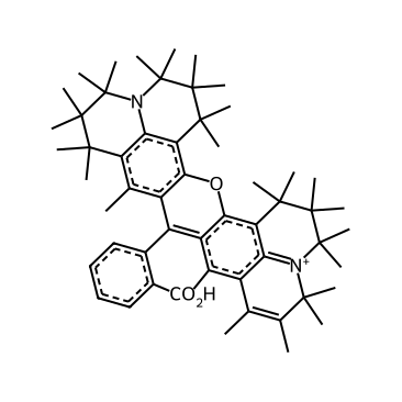 CC1=C(C)C(C)(C)[N+]2=c3c1c(C)c1c(c3C(C)(C)C(C)(C)C2(C)C)Oc2c(c(C)c3c4c2C(C)(C)C(C)(C)C(C)(C)N4C(C)(C)C(C)(C)C3(C)C)C=1c1ccccc1C(=O)O